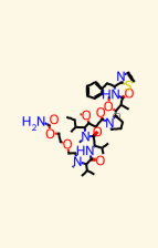 CCC(C)C(C(CC(=O)N1CCC[C@H]1C(OC)C(C)C(=O)NC(Cc1ccccc1)c1nccs1)OC)N(C)C(=O)C(NC(=O)C(C(C)C)N(C)CCOCCOC(N)=O)C(C)C